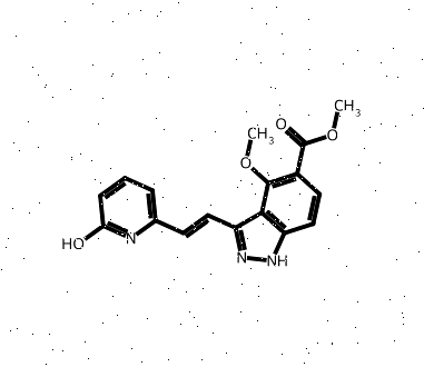 COC(=O)c1ccc2[nH]nc(/C=C/c3cccc(O)n3)c2c1OC